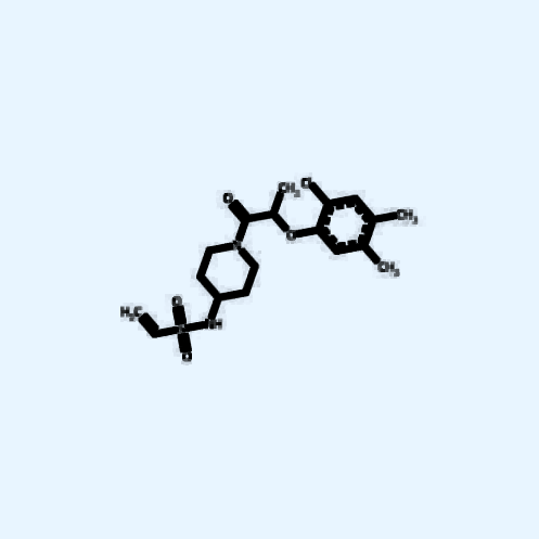 C=CS(=O)(=O)NC1CCN(C(=O)C(C)Oc2cc(C)c(C)cc2Cl)CC1